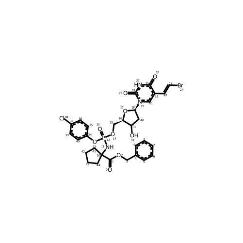 O=C(OCc1ccccc1)C1(NP(=O)(OC[C@H]2O[C@@H](n3cc(/C=C/Br)c(=O)[nH]c3=O)CC2O)Oc2ccc(Cl)cc2)CCCC1